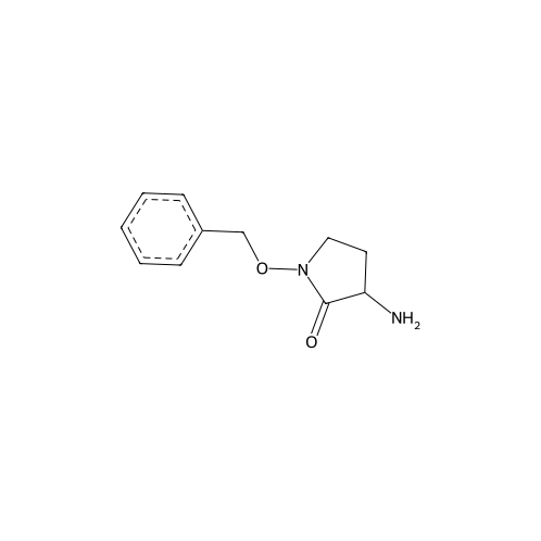 NC1CCN(OCc2ccccc2)C1=O